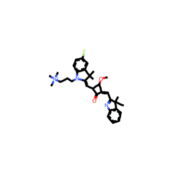 COC1/C(=C/C2=Nc3ccccc3C2(C)C)C(=O)C1/C=C1/N(CCC[N+](C)(C)C)c2ccc(F)cc2C1(C)C